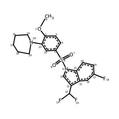 COc1ccc(S(=O)(=O)n2cc(C(F)F)c3cc(F)ccc32)cc1N1CCCCC1